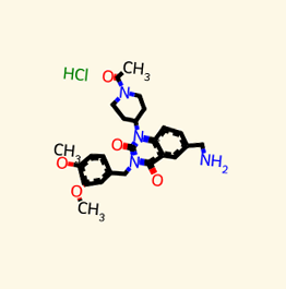 COc1ccc(Cn2c(=O)c3cc(CN)ccc3n(C3CCN(C(C)=O)CC3)c2=O)cc1OC.Cl